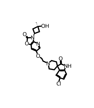 C[C@]1(O)C[C@@H](n2c(=O)oc3cc(OCCN4CCC5(CC4)C(=O)Nc4ccc(Cl)cc45)cnc32)C1